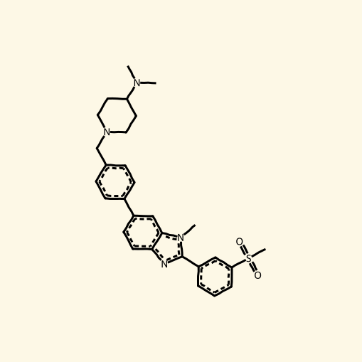 CN(C)C1CCN(Cc2ccc(-c3ccc4nc(-c5cccc(S(C)(=O)=O)c5)n(C)c4c3)cc2)CC1